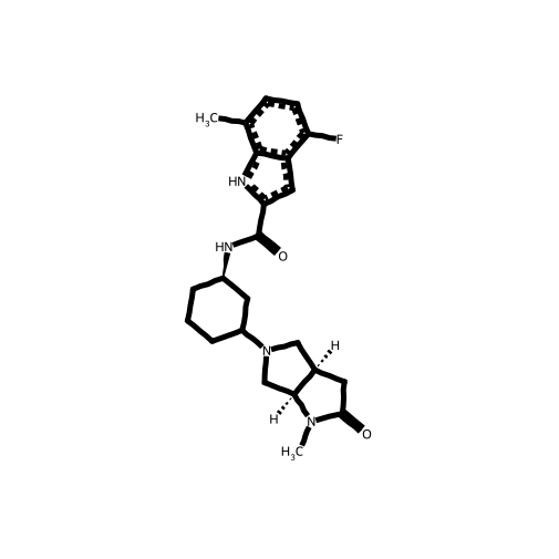 Cc1ccc(F)c2cc(C(=O)N[C@@H]3CCCC(N4C[C@H]5CC(=O)N(C)[C@H]5C4)C3)[nH]c12